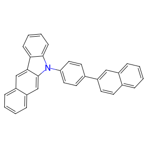 c1ccc2cc(-c3ccc(-n4c5ccccc5c5cc6ccccc6cc54)cc3)ccc2c1